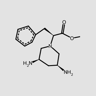 COC(=O)[C@H](Cc1ccccc1)N1C[C@H](N)C[C@H](N)C1